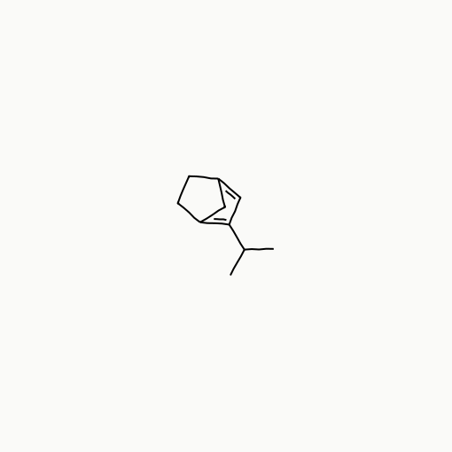 CC(C)C1=C2CCC(=C1)C2